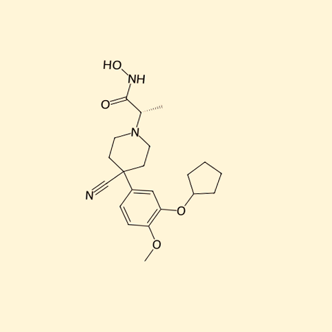 COc1ccc(C2(C#N)CCN([C@@H](C)C(=O)NO)CC2)cc1OC1CCCC1